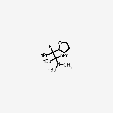 CCCCN(C)C(CCC)(CCCC)C(F)(CCC)C1CCCO1